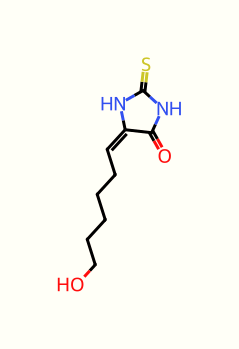 O=C1NC(=S)N/C1=C/CCCCCO